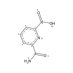 NC(=O)c1cccc(C(=O)O)n1